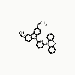 C=Cc1ccc2c(c1)c1cc(C=C)ccc1n2-c1cccc(N2c3ccccc3Sc3ccccc32)n1